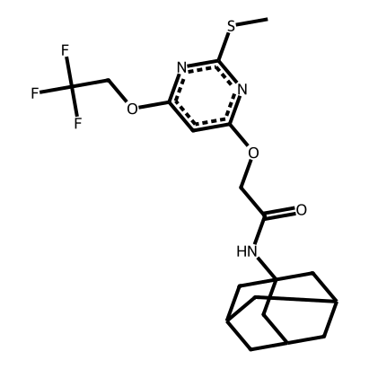 CSc1nc(OCC(=O)NC23CC4CC(CC(C4)C2)C3)cc(OCC(F)(F)F)n1